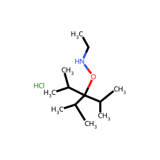 CCNOC(C(C)C)(C(C)C)C(C)C.Cl